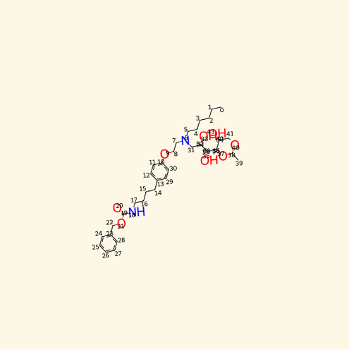 CCCCCCN(CCOc1ccc(CCCCNC(=O)OCc2ccccc2)cc1)C[C@H](O)[C@@H](O)[C@@H]1OC(C)OC[C@H]1O